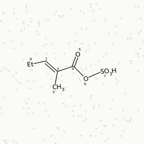 CC/C=C(\C)C(=O)OS(=O)(=O)O